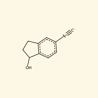 [C-]#[N+]c1ccc2c(c1)CCC2O